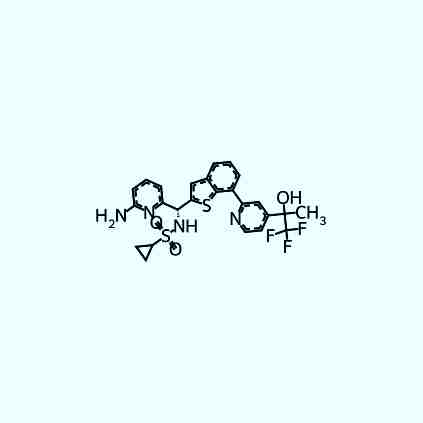 CC(O)(c1ccnc(-c2cccc3cc([C@H](NS(=O)(=O)C4CC4)c4cccc(N)n4)sc23)c1)C(F)(F)F